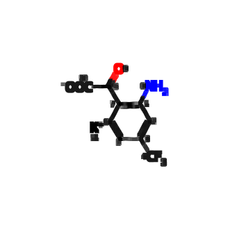 Nc1cc(C(F)(F)F)ccc1C(=O)C(=O)[O-].[K+]